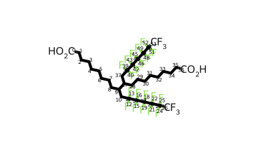 O=C(O)CCCCCCCCC(CC(F)(F)C(F)(F)C(F)(F)C(F)(F)C(F)(F)C(F)(F)F)C(CCCCCCCCC(=O)O)CC(F)(F)C(F)(F)C(F)(F)C(F)(F)C(F)(F)C(F)(F)F